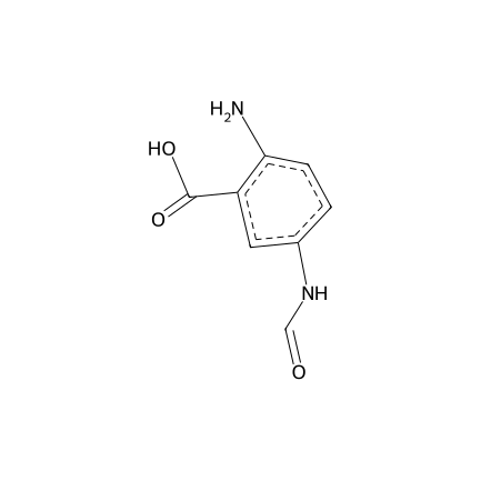 Nc1ccc(NC=O)cc1C(=O)O